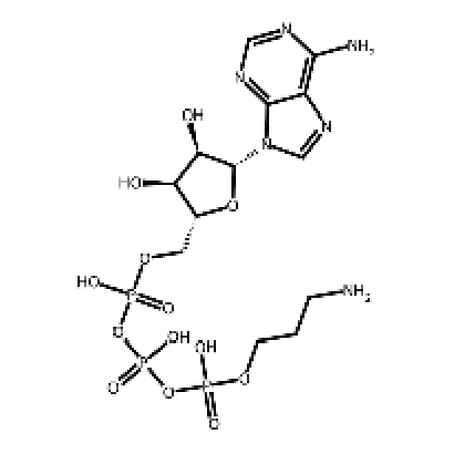 NCCCOP(=O)(O)OP(=O)(O)OP(=O)(O)OC[C@H]1O[C@@H](n2cnc3c(N)ncnc32)[C@H](O)[C@@H]1O